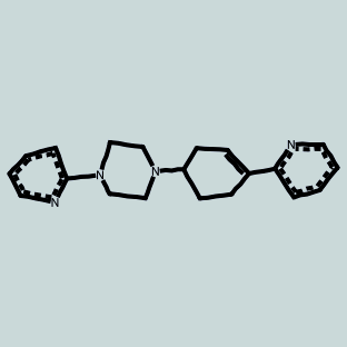 C1=C(c2ccccn2)CCC(N2CCN(c3ccccn3)CC2)C1